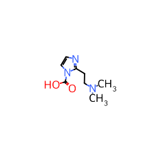 CN(C)CCc1nccn1C(=O)O